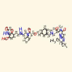 Cc1cc(C)n2nc(C(=O)N3CCOC4(CCN(Cc5cccc(CCOCCC(=O)N(CCNCCc6ccc(O)c7c6OCC(=O)N7)C6CCCCC6)c5)CC4)C3)cc2n1